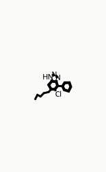 CCCCCc1cc2[nH]nnc2c(-c2ccccc2)c1Cl